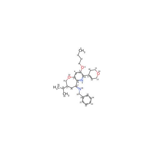 CCCCOc1cc2c(nc1C1=CCOCC1)C(=NCc1ccccc1)CC(C(C)C)CO2